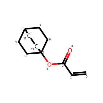 C=CC(=O)OC12CCC(CC1)CC2